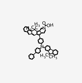 CC1(C)C2=c3ccccc3=CC2=Cc2c(-c3ccc(N(c4ccc(-c5ccccc5)cc4)c4ccc5c(c4)C(C)(C)c4ccccc4-5)cc3)c3ccn(C(=O)O)cc-3c21